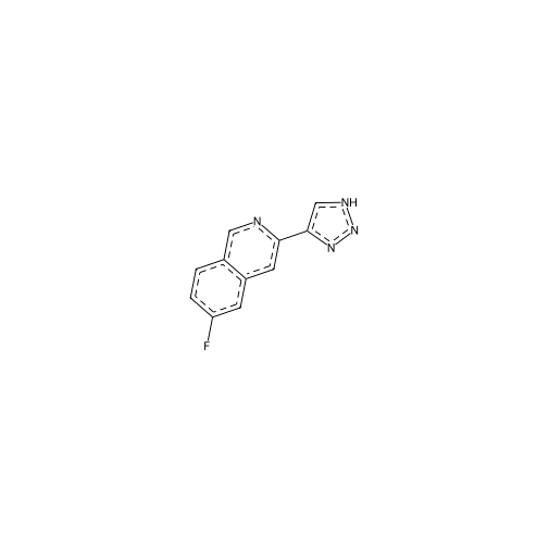 Fc1ccc2cnc(-c3c[nH]nn3)cc2c1